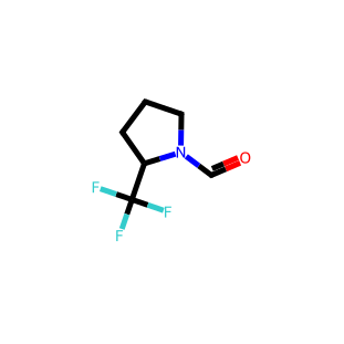 O=CN1CCCC1C(F)(F)F